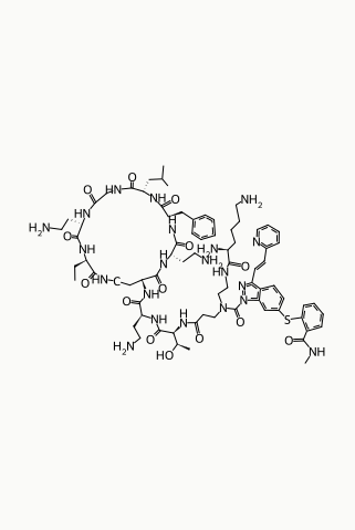 CC[C@H]1NC(=O)[C@H](CCN)NC(=O)CNC(=O)[C@H](CC(C)C)NC(=O)[C@@H](Cc2ccccc2)NC(=O)[C@H](CCN)NC(=O)[C@@H](NC(=O)[C@H](CCN)NC(=O)[C@@H](NC(=O)CCN(CCNC(=O)[C@@H](N)CCCCN)C(=O)n2nc(/C=C/c3ccccn3)c3ccc(Sc4ccccc4C(=O)NC)cc32)[C@@H](C)O)CCNC1=O